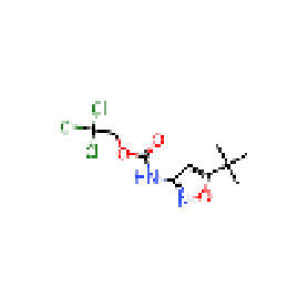 CC(C)(C)c1cc(NC(=O)OCC(Cl)(Cl)Cl)no1